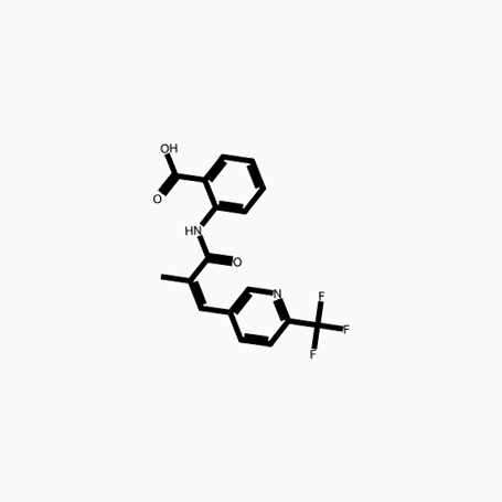 CC(=Cc1ccc(C(F)(F)F)nc1)C(=O)Nc1ccccc1C(=O)O